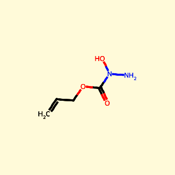 C=CCOC(=O)N(N)O